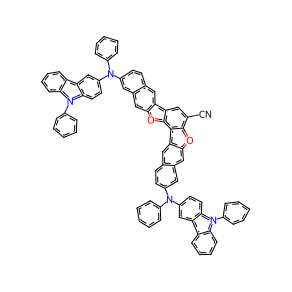 N#Cc1cc2c3cc4ccc(N(c5ccccc5)c5ccc6c(c5)c5ccccc5n6-c5ccccc5)cc4cc3oc2c2c1oc1cc3cc(N(c4ccccc4)c4ccc5c(c4)c4ccccc4n5-c4ccccc4)ccc3cc12